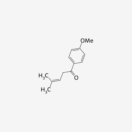 COc1ccc(C(=O)CC=C(C)C)cc1